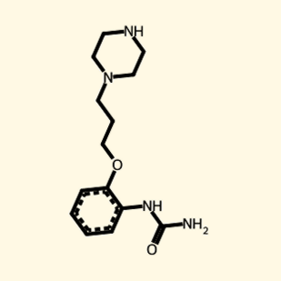 NC(=O)Nc1ccccc1OCCCN1CCNCC1